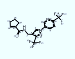 O=C(NCc1cn(-c2ccc(C(F)(F)F)nc2)nc1C(F)(F)F)C1=CCCC1